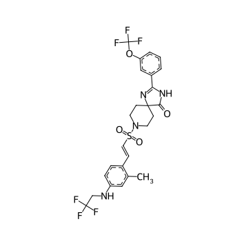 Cc1cc(NCC(F)(F)F)ccc1/C=C/S(=O)(=O)N1CCC2(CC1)N=C(c1cccc(OC(F)(F)F)c1)NC2=O